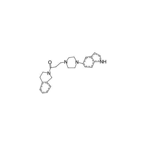 O=C(CCN1CCN(c2ccc3[nH]ccc3c2)CC1)N1CCc2ccccc2C1